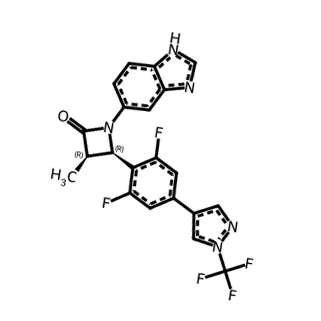 C[C@H]1C(=O)N(c2ccc3[nH]cnc3c2)[C@H]1c1c(F)cc(-c2cnn(C(F)(F)F)c2)cc1F